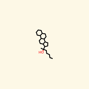 CCCCCC(C)(O)C1CCC2C3CCC4CCCCC4C3CCC21